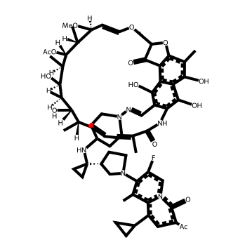 CO[C@H]1/C=C/O[C@@]2(C)Oc3c(C)c(O)c4c(O)c(c(/C=N/N5CCC(NC6([C@@H]7CCN(c8c(F)cn9c(=O)c(C(C)=O)cc(C%10CC%10)c9c8C)C7)CC6)CC5)c(O)c4c3C2=O)NC(=O)/C(C)=C\C=C\[C@H](C)[C@H](O)[C@@H](C)[C@@H](O)[C@@H](C)[C@H](OC(C)=O)[C@@H]1C